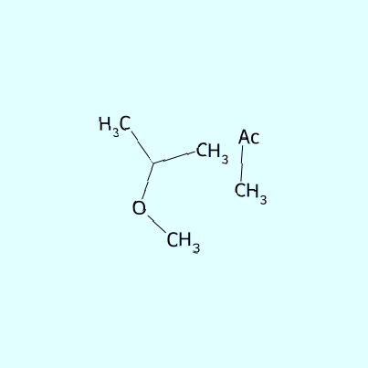 CC(C)=O.COC(C)C